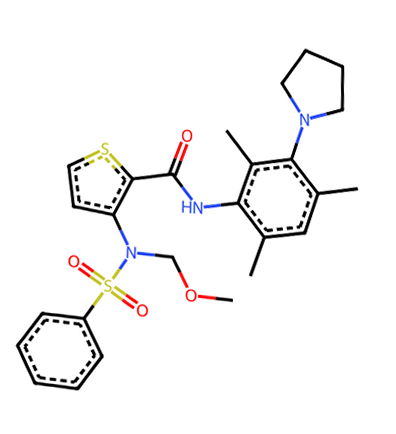 COCN(c1ccsc1C(=O)Nc1c(C)cc(C)c(N2CCCC2)c1C)S(=O)(=O)c1ccccc1